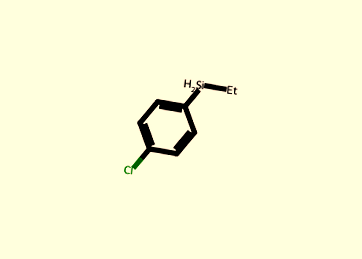 CC[SiH2]c1ccc(Cl)cc1